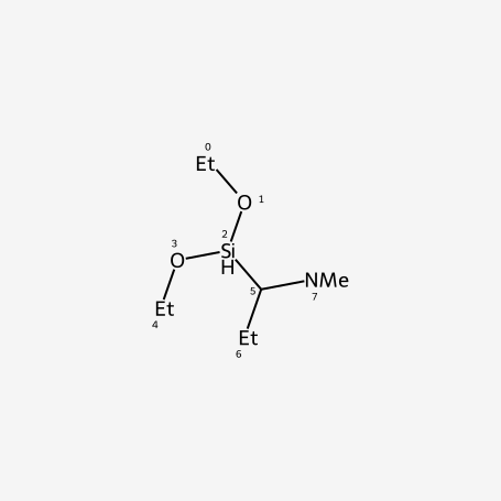 CCO[SiH](OCC)C(CC)NC